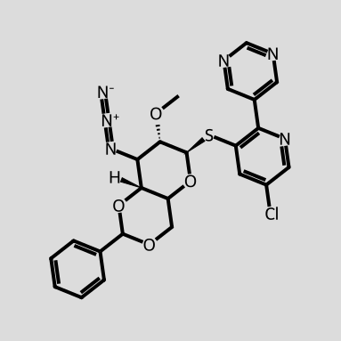 CO[C@H]1C(N=[N+]=[N-])[C@H]2OC(c3ccccc3)OCC2O[C@@H]1Sc1cc(Cl)cnc1-c1cncnc1